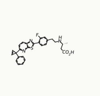 C[C@H](CC(=O)O)NCCc1ccc(-c2nc3ccc(C4(c5ccccc5)C=C4)nc3s2)c(F)c1